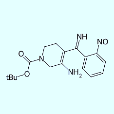 CC(C)(C)OC(=O)N1CCC(C(=N)c2ccccc2N=O)=C(N)C1